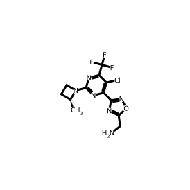 C[C@H]1CCN1c1nc(-c2noc(CN)n2)c(Cl)c(C(F)(F)F)n1